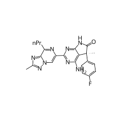 CCCc1nc(-c2nc(N)c3c(n2)NC(=O)[C@@]3(C)c2ccc(F)cc2)cn2nc(C)nc12